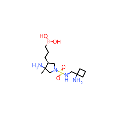 C[C@]1(N)CN(S(=O)(=O)NCC2(N)CCC2)C[C@@H]1CCCB(O)O